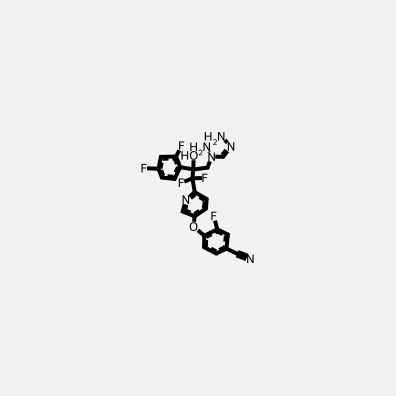 N#Cc1ccc(Oc2ccc(C(F)(F)C(O)(CN(N)/C=N\N)c3ccc(F)cc3F)nc2)c(F)c1